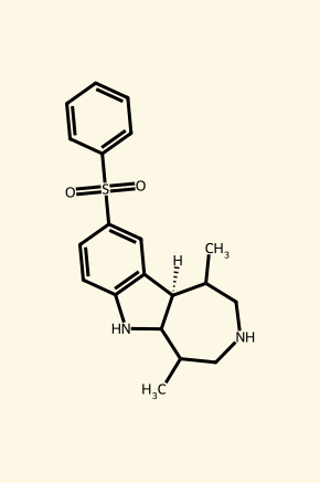 CC1CNCC(C)[C@@H]2c3cc(S(=O)(=O)c4ccccc4)ccc3NC12